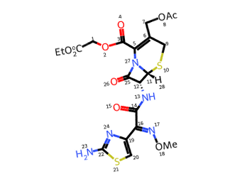 CCOC(=O)COC(=O)C1=C(COC(C)=O)CS[C@@H]2[C@H](NC(=O)C(=NOC)c3csc(N)n3)C(=O)N12